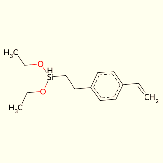 C=Cc1ccc(CC[SiH](OCC)OCC)cc1